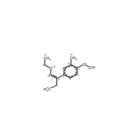 [CH]Oc1ccc(/C(CC)=N\OCC)cc1C